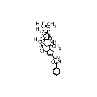 CC(C)(C)OC(=O)/N=C1/N[C@](C)(C2SC(c3nnc(-c4ccccc4)o3)=CC2Cl)CS(=O)(=O)C1(C)C